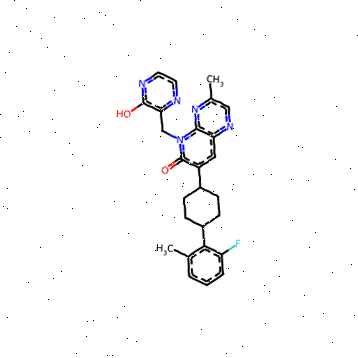 Cc1cnc2cc(C3CCC(c4c(C)cccc4F)CC3)c(=O)n(Cc3nccnc3O)c2n1